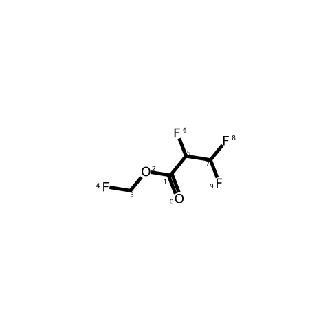 O=C(OCF)C(F)C(F)F